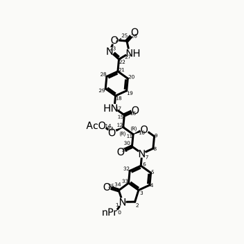 CCCN1Cc2ccc(N3CCO[C@H]([C@@H](OOC(C)=O)C(=O)Nc4ccc(-c5noc(=O)[nH]5)cc4)C3=O)cc2C1=O